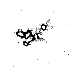 Nc1nc(-c2ccccc2)c(-c2ccc3ncccc3c2)nc1C(=O)NC1CCC(C(F)(F)F)CC1